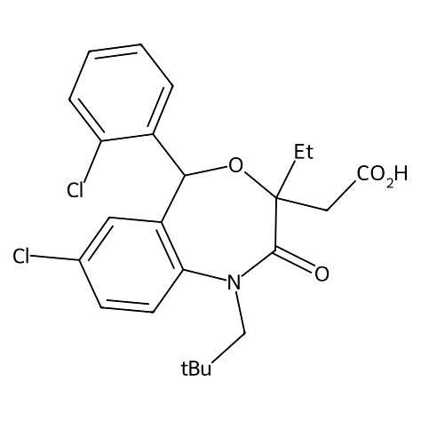 CCC1(CC(=O)O)OC(c2ccccc2Cl)c2cc(Cl)ccc2N(CC(C)(C)C)C1=O